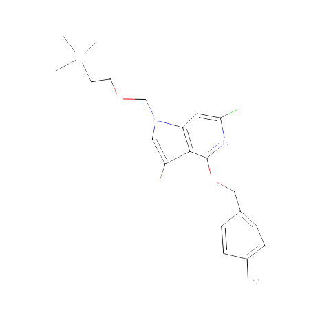 COc1ccc(COc2nc(Cl)cc3c2c(Br)cn3COCC[Si](C)(C)C)cc1